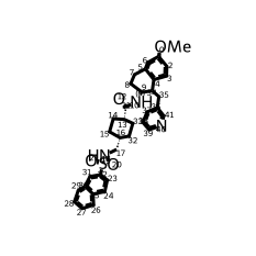 COc1ccc2c(c1)CC[C@@H](NC(=O)[C@H]1CC[C@@H](CNS(=O)(=O)c3ccc4ccccc4c3)CC1)C2Cc1cccnc1